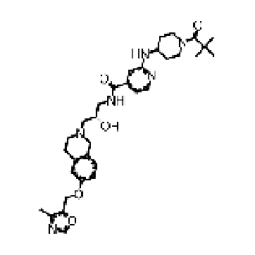 Cc1ncoc1COc1ccc2c(c1)CCN(C[C@@H](O)CNC(=O)c1ccnc(NC3CCN(C(=O)C(C)(C)C)CC3)c1)C2